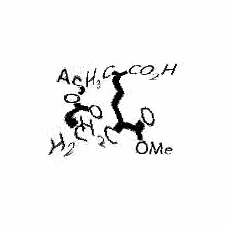 C=C(CC=C(C)C(=O)O)C(=O)OC.C=CC(=O)OCC(C)=O